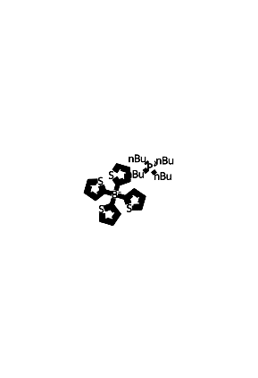 CCCC[P+](CCCC)(CCCC)CCCC.c1csc([B-](c2cccs2)(c2cccs2)c2cccs2)c1